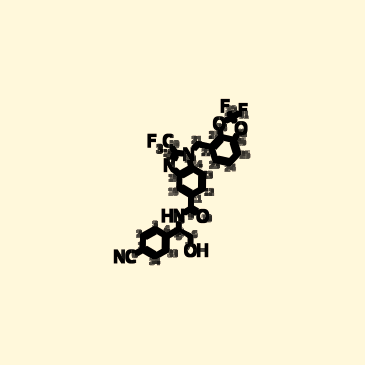 N#Cc1ccc([C@H](CO)NC(=O)c2ccc3c(c2)nc(C(F)(F)F)n3Cc2cccc3c2OC(F)(F)O3)cc1